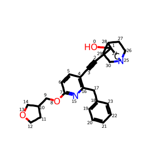 OC1(C#Cc2ccc(OCC3CCOC3)nc2Cc2ccccc2)CN2CCC1CC2